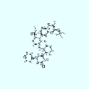 CC(Nc1ccc2c(c1)Sc1cccc(-c3cc(N4CCOCC4)cc(=O)[nH]3)c1S2)c1nccc(CN(C)C(=O)OC(C)(C)C)n1